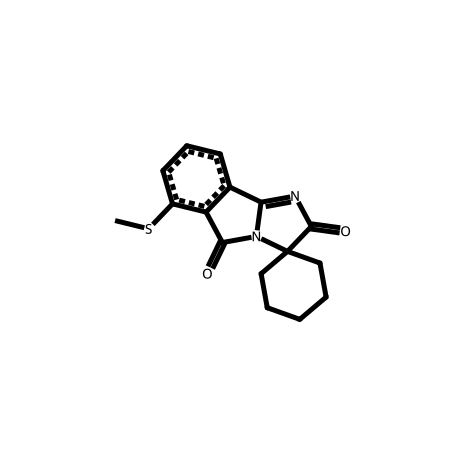 CSc1cccc2c1C(=O)N1C2=NC(=O)C12CCCCC2